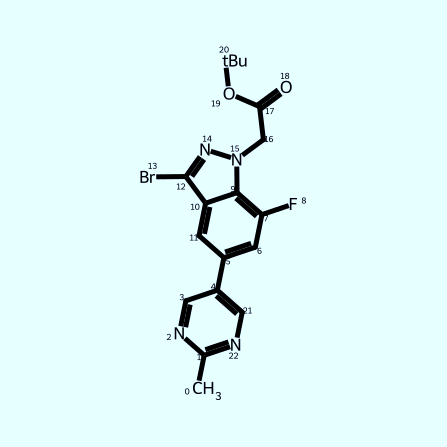 Cc1ncc(-c2cc(F)c3c(c2)c(Br)nn3CC(=O)OC(C)(C)C)cn1